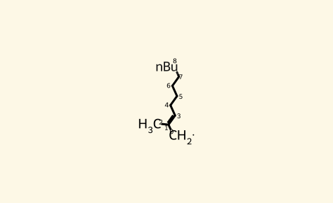 [CH2]C(C)=CCCCCCCCC